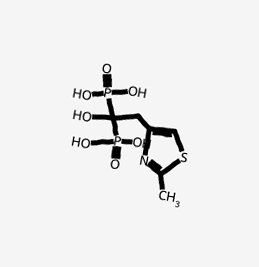 Cc1nc(CC(O)(P(=O)(O)O)P(=O)(O)O)cs1